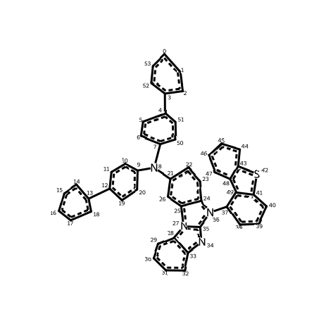 c1ccc(-c2ccc(N(c3ccc(-c4ccccc4)cc3)c3ccc4c(c3)n3c5ccccc5nc3n4-c3cccc4sc5ccccc5c34)cc2)cc1